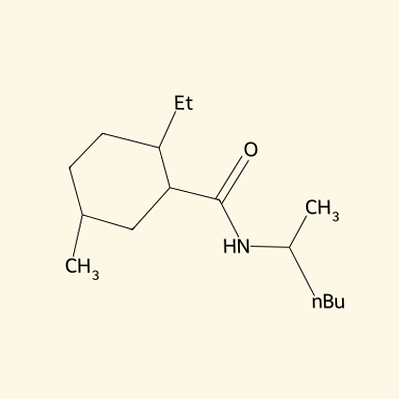 CCCCC(C)NC(=O)C1CC(C)CCC1CC